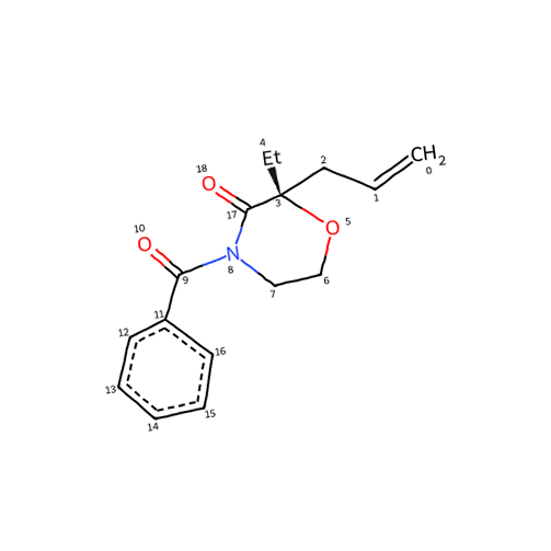 C=CC[C@]1(CC)OCCN(C(=O)c2ccccc2)C1=O